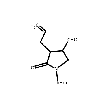 C=CCC1C(=O)N(CCCCCC)CC1C=O